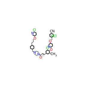 Cc1cc(/C=C/C(=O)N2CCN(Cc3ccc(CCCOc4ccc(Cl)nc4)cc3)CC2)cc(Cl)c1Oc1ccc(OCc2ccc(C#N)cc2)cn1.Cl